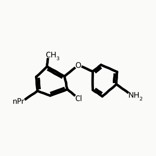 CCCc1cc(C)c(Oc2ccc(N)cc2)c(Cl)c1